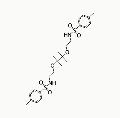 Cc1ccc(S(=O)(=O)NCCOC(C)(C)C(C)(C)OCCNS(=O)(=O)c2ccc(C)cc2)cc1